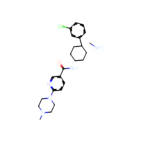 CN1CCN(c2ccc(C(=O)N[C@H]3CC[C@](CN)(c4cccc(Cl)c4)CC3)cn2)CC1